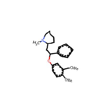 COc1ccc(OC(CC2CCCCN2C)c2ccccc2)cc1OC